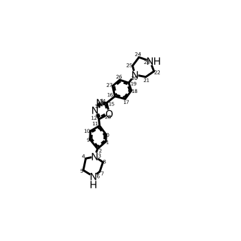 c1cc(N2CCNCC2)ccc1-c1nnc(-c2ccc(N3CCNCC3)cc2)o1